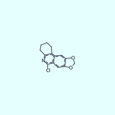 Clc1nc2c(c3cc4c(cc13)OCO4)CCCC2